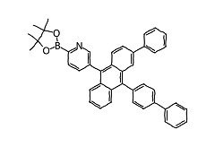 CC1(C)OB(c2ccc(-c3c4ccccc4c(-c4ccc(-c5ccccc5)cc4)c4cc(-c5ccccc5)ccc34)cn2)OC1(C)C